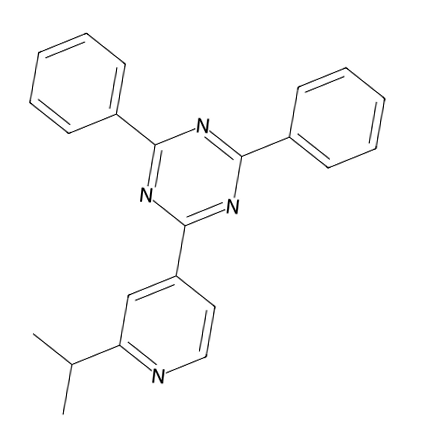 CC(C)c1cc(-c2nc(-c3ccccc3)nc(-c3ccccc3)n2)ccn1